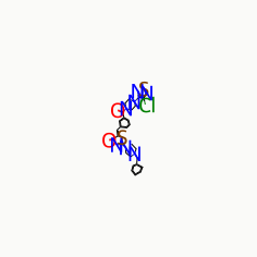 O=C1N=C(N2CCN(Cc3ccccc3)CC2)SC1=Cc1cccc(C(=O)N2CCN(c3nsnc3Cl)CC2)c1